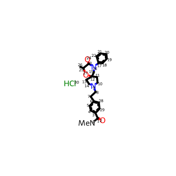 CNC(=O)c1ccc(CCN2CCC3(CC2)CN(c2ccccc2)C(=O)C(C)O3)cc1.Cl